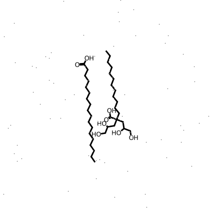 CCCCCCCCCCCCC(CC(O)CO)(CC(O)CO)C(=O)O.CCCCCCCCCCCCCCCCCC(=O)O